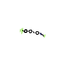 FCC/C=C/[C@H]1CC[C@H](CC[C@H]2CC[C@H](c3ccc(C(F)(F)F)cc3)CC2)CC1